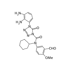 COc1ccc(N(C(=O)n2nnn(-c3cccc(N)c3N)c2=O)C2CCCCC2)cc1C=O